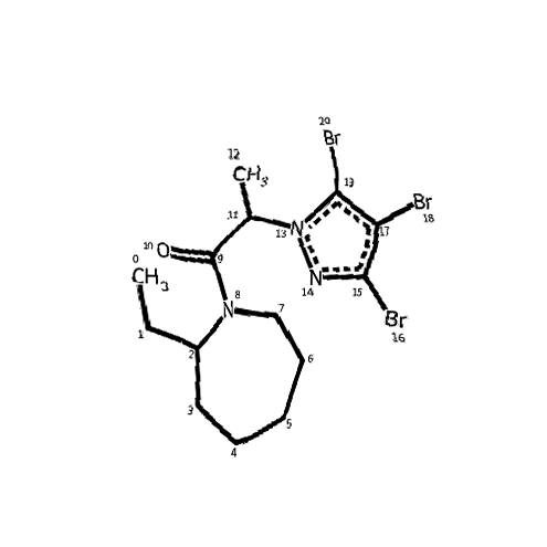 CCC1CCCCCN1C(=O)C(C)n1nc(Br)c(Br)c1Br